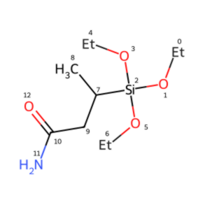 CCO[Si](OCC)(OCC)C(C)CC(N)=O